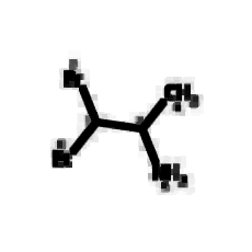 CCC(Br)C(C)N